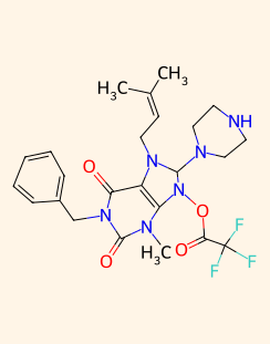 CC(C)=CCN1c2c(n(C)c(=O)n(Cc3ccccc3)c2=O)N(OC(=O)C(F)(F)F)C1N1CCNCC1